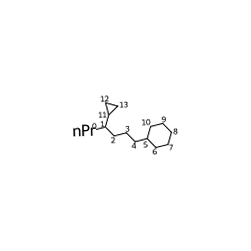 [CH2]CCC(CCCC1CCCCC1)C1CC1